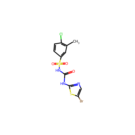 Cc1cc(S(=O)(=O)NC(=O)Nc2ncc(Br)s2)ccc1Cl